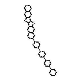 c1ccc(-c2ccc(-c3ccc(-c4ccc(-c5ccc6cc7c(cc6c5)sc5c6cc8ccccc8cc6sc75)nc4)cc3)cc2)cc1